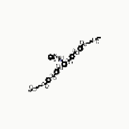 C=CC(=O)OCCCCOC(=O)C1CCC(OC(=O)C2CCC(C(=O)Oc3ccc(OC(=O)C4CCC(C(=O)OC5CCC(C(=O)OCCCCOC(=O)C=C)CC5)CC4)c(/C=N/Nc4nc5ccccc5s4)c3)CC2)CC1